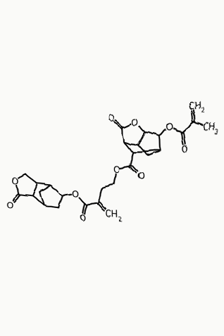 C=C(C)C(=O)OC1C2CC3C1OC(=O)C3C2C(=O)OCCC(=C)C(=O)OC1CC2CC1C1COC(=O)C21